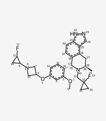 COc1cc(OC2CN(C3CC3F)C2)ccc1[C@@H]1c2ccc3[nH]ncc3c2C[C@@H](C)N1CC1(F)CC1